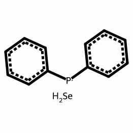 [SeH2].c1ccc([P]c2ccccc2)cc1